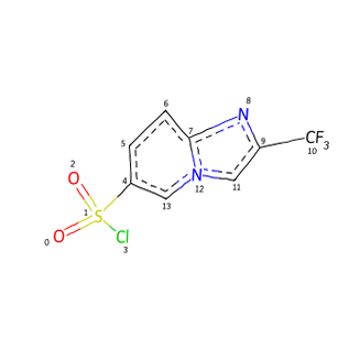 O=S(=O)(Cl)c1ccc2nc(C(F)(F)F)cn2c1